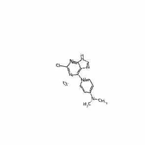 CN(C)c1cc[n+](-c2nc(Cl)nc3[nH]cnc23)cc1.[Cl-]